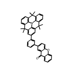 CC1(C)c2cccc3c2N2c4c1cccc4C(C)(C)c1cc(-c4cccc(-c5ccc6oc7ccccc7c(=O)c6c5)c4)cc(c12)C3(C)C